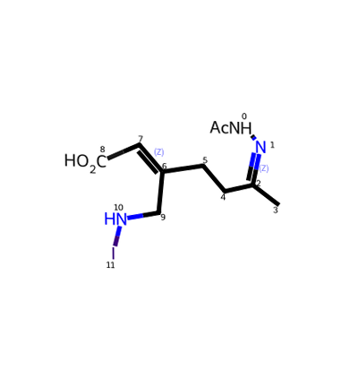 CC(=O)N/N=C(/C)CC/C(=C/C(=O)O)CNI